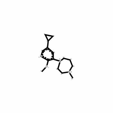 COc1ncc(C2CC2)cc1N1CCCN(C)CC1